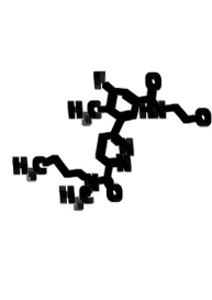 CCCCN(C)C(=O)c1ccc(-c2cc(C(=O)NCCO)cc(F)c2C)nn1